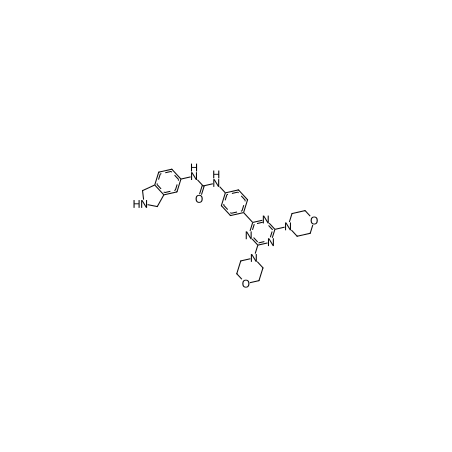 O=C(Nc1ccc(-c2nc(N3CCOCC3)nc(N3CCOCC3)n2)cc1)Nc1ccc2c(c1)CNC2